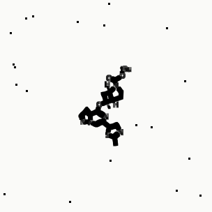 Cc1ncc(-c2cn3nccc3c(O[C@@]3(C)C[C@@H]4[C@H]3CCN4C(=O)OC(C)(C)C)n2)s1